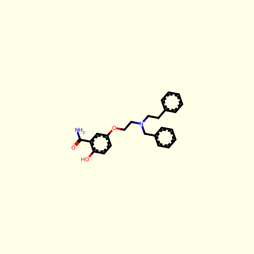 NC(=O)c1cc(OCCN(C[CH]c2ccccc2)Cc2ccccc2)ccc1O